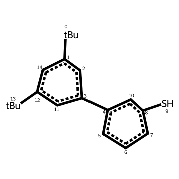 CC(C)(C)c1cc(-c2cccc(S)c2)cc(C(C)(C)C)c1